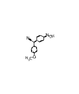 COc1ccc(C(C#N)=C2C=CC(=NO)C=C2)cc1